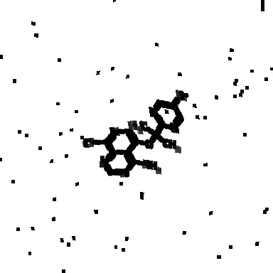 CC(C)(Oc1cnc(Cl)c2ncnc(N)c12)c1ncc(Br)cn1